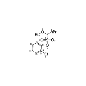 CCCC(OCC)S(=O)(=O)[O-].CC[n+]1ccccc1